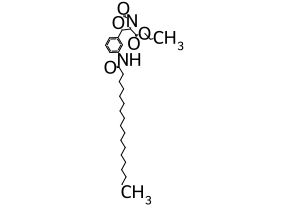 CCCCCCCCCCCCCCCCCC(=O)Nc1cccc(C2OC(=O)N=C2C(=O)OCC)c1